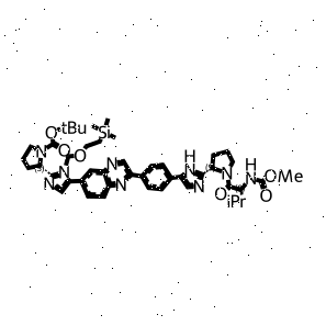 COC(=O)N[C@H](C(=O)N1CCC[C@H]1c1ncc(-c2ccc(-c3cnc4cc(-c5cnc([C@@H]6CCCN6C(=O)OC(C)(C)C)n5COCC[Si](C)(C)C)ccc4n3)cc2)[nH]1)C(C)C